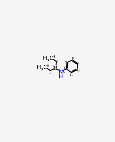 CCB(CC)Nc1ccccc1